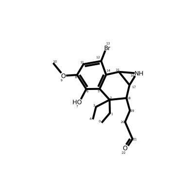 CCC1(CC)c2c(O)c(OC)cc(Br)c2C2NC2C1CCC=O